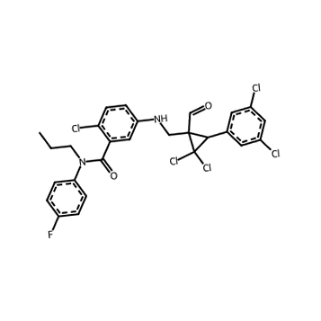 CCCN(C(=O)c1cc(NCC2(C=O)C(c3cc(Cl)cc(Cl)c3)C2(Cl)Cl)ccc1Cl)c1ccc(F)cc1